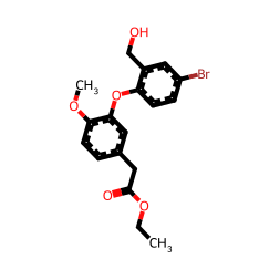 CCOC(=O)Cc1ccc(OC)c(Oc2ccc(Br)cc2CO)c1